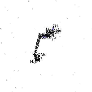 C=C/C=C/C=C(\C)[C@H](C[C@@H]1CCC[C@](O)(C(=O)C(=O)N2CCCC[C@H]2C(=O)O[C@@H](C[C@@H](O)[C@H](C)/C=C(\C)[C@@H](O)[C@@H](O)/C(=N/OCc2cn(CCOCCOCCOCCOCCOCCCCOCCC(=O)N3CCN(c4ccc(-n5c(=O)n(C)c6cnc7ccc(-c8ccc(OC)nc8)cc7c65)cc4C(F)(F)F)CC3)nn2)[C@H](C)CC(C)C)[C@H](N)CCC[C@@H](OC)[C@H](O)CC)O1)OC